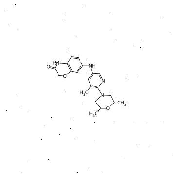 Cc1cc(Nc2ccc3c(c2)OCC(=O)N3)cnc1N1C[C@H](C)O[C@@H](C)C1